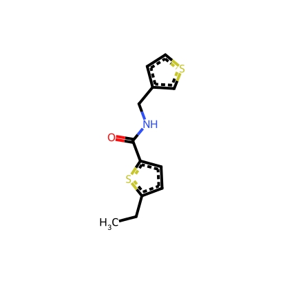 CCc1ccc(C(=O)NCc2ccsc2)s1